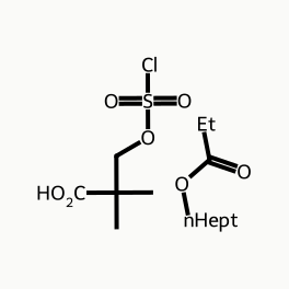 CC(C)(COS(=O)(=O)Cl)C(=O)O.CCCCCCCOC(=O)CC